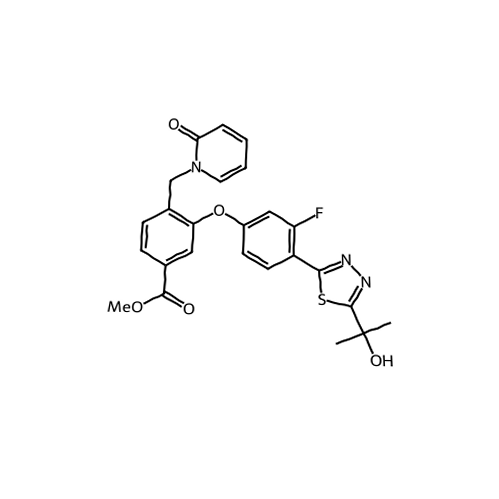 COC(=O)c1ccc(Cn2ccccc2=O)c(Oc2ccc(-c3nnc(C(C)(C)O)s3)c(F)c2)c1